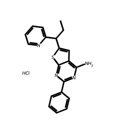 CCC(c1ccccn1)c1cc2c(N)nc(-c3ccccc3)nc2s1.Cl